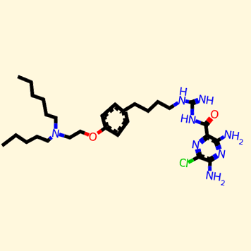 CCCCCCN(CCCCC)CCOc1ccc(CCCCNC(=N)NC(=O)c2nc(Cl)c(N)nc2N)cc1